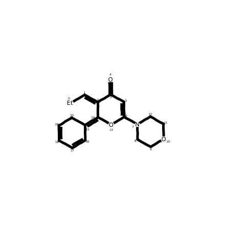 CC/C=c1/c(=O)cc(N2CCOCC2)o/c1=C1\C=CC=CC1